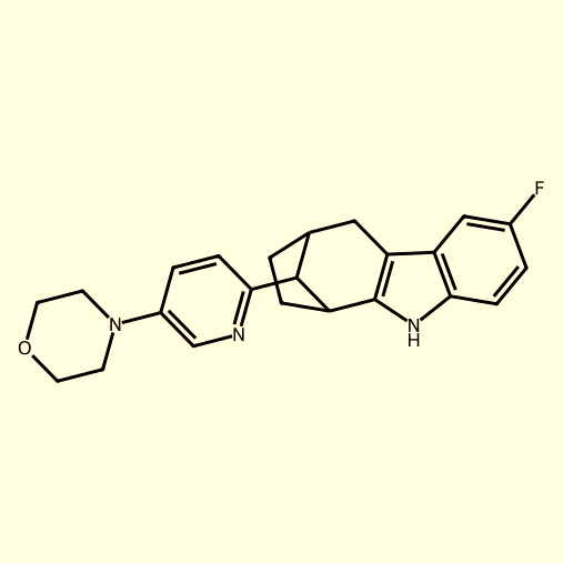 Fc1ccc2[nH]c3c(c2c1)CC1CCC3C1c1ccc(N2CCOCC2)cn1